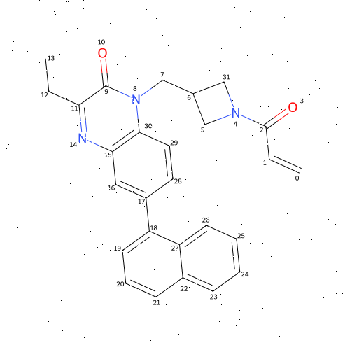 C=CC(=O)N1CC(Cn2c(=O)c(CC)nc3cc(-c4cccc5ccccc45)ccc32)C1